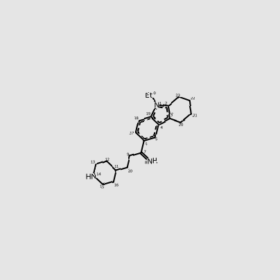 CCn1c2c(c3cc(C(=N)CCC4CCNCC4)ccc31)CCCC2